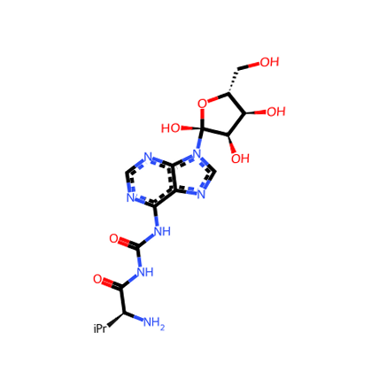 CC(C)[C@H](N)C(=O)NC(=O)Nc1ncnc2c1ncn2[C@]1(O)O[C@H](CO)[C@@H](O)[C@H]1O